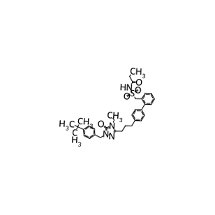 CCC(=O)NS(=O)(=O)Cc1ccccc1-c1ccc(CCCc2nn(Cc3ccc(C(C)(C)C)cc3)c(=O)n2CC)cc1